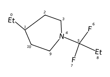 CCC1CCN(C(F)(F)CC)CC1